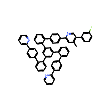 Cc1cc(-c2ccc(-c3ccccc3-c3cc(-c4ccccc4-c4ccc(-c5ccccn5)cc4)cc(-c4ccccc4-c4ccc(-c5ccccn5)cc4)c3)cc2)ncc1-c1cccc(F)c1